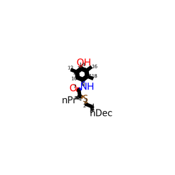 CCCCCCCCCCCCSC(CCC)C(=O)Nc1cc(C)c(O)c(C)c1C